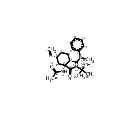 C=C[C@@H]1CC[C@@H](CN(C)c2ccccc2)[C@@](NC(C)=O)(C(=O)NC(C)(C)C)C1